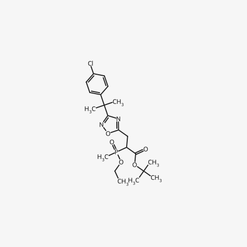 CCOP(C)(=O)C(Cc1nc(C(C)(C)c2ccc(Cl)cc2)no1)C(=O)OC(C)(C)C